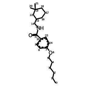 CCCCCCOc1ccc(C(=O)NCC2CCCC(C)(C)C2)cc1